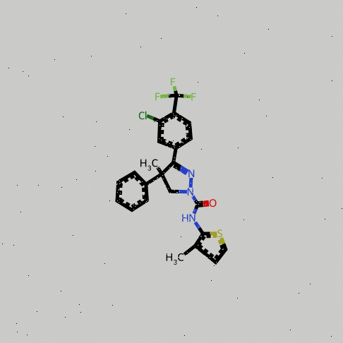 Cc1ccsc1NC(=O)N1CC(C)(c2ccccc2)C(c2ccc(C(F)(F)F)c(Cl)c2)=N1